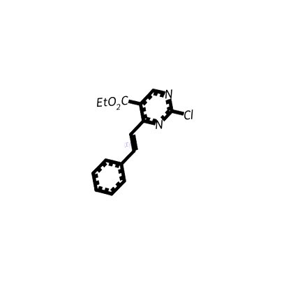 CCOC(=O)c1cnc(Cl)nc1/C=C/c1ccccc1